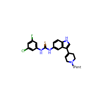 CCCC(C)N1CC=C(c2c[nH]c3ccc(NC(=S)Nc4cc(F)cc(Cl)c4)cc23)CC1